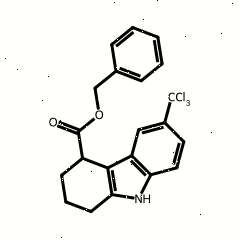 O=C(OCc1ccccc1)C1CCCc2[nH]c3ccc(C(Cl)(Cl)Cl)cc3c21